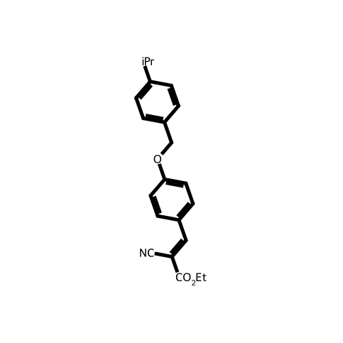 CCOC(=O)/C(C#N)=C/c1ccc(OCc2ccc(C(C)C)cc2)cc1